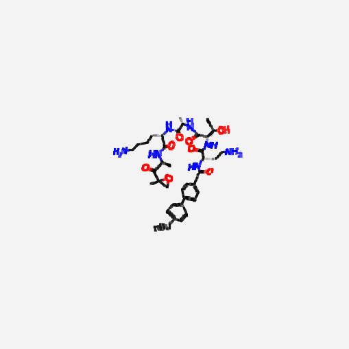 CCCCc1ccc(-c2ccc(C(=O)N[C@@H](CCN)C(=O)N[C@H](C(=O)N[C@@H](C)C(=O)N[C@@H](CCCCN)C(=O)N[C@@H](C)C(=O)C3(C)CO3)[C@@H](C)O)cc2)cc1